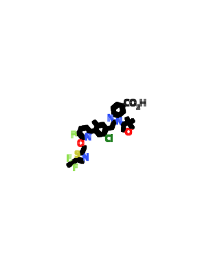 Cc1cc(Cc2nc3ccc(C(=O)O)cc3n2C2COCC2(C)C)c(Cl)cc1-c1ccc(F)c(OCc2ncc(C(C)(F)F)s2)n1